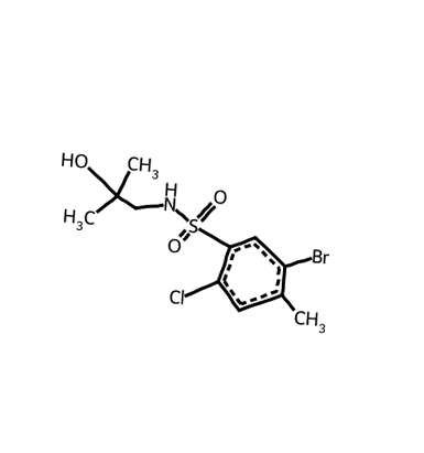 Cc1cc(Cl)c(S(=O)(=O)NCC(C)(C)O)cc1Br